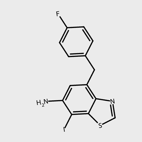 Nc1cc(Cc2ccc(F)cc2)c2ncsc2c1I